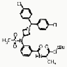 C[C@H](NC(=O)c1cccc(N(C2CN(C(c3ccc(Cl)cc3)c3ccc(Cl)cc3)C2)S(C)(=O)=O)c1)C(=O)OC(C)(C)C